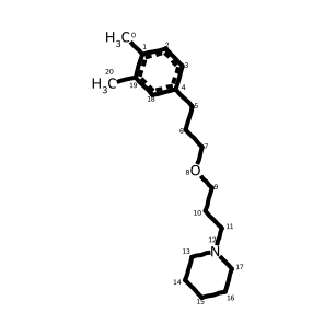 Cc1ccc(CCCOCCCN2CCCCC2)cc1C